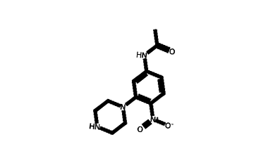 CC(=O)Nc1ccc([N+](=O)[O-])c(N2CCNCC2)c1